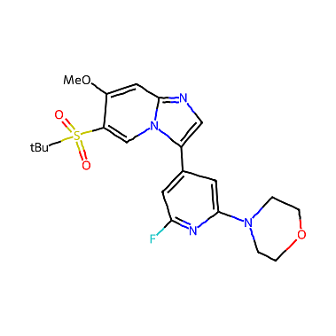 COc1cc2ncc(-c3cc(F)nc(N4CCOCC4)c3)n2cc1S(=O)(=O)C(C)(C)C